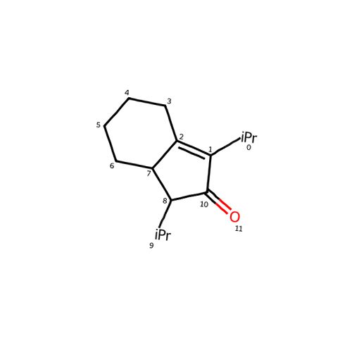 CC(C)C1=C2CCCCC2C(C(C)C)C1=O